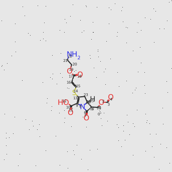 C[C@@H](OC=O)[C@H]1C(=O)N2C(C(=O)O)=C(SC=CC(=O)OCCN)C[C@H]12